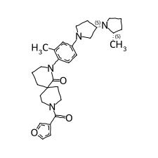 Cc1cc(N2CC[C@H](N3CCC[C@@H]3C)C2)ccc1N1CCCC2(CCN(C(=O)c3ccoc3)CC2)C1=O